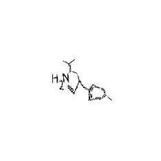 C=CC(CC(N)=C(C)C)c1ccc(C)cc1